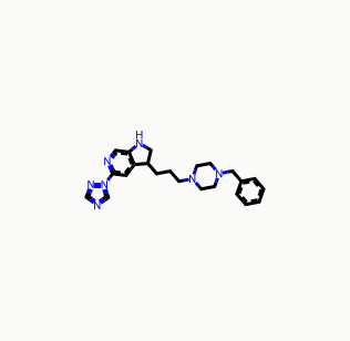 c1ccc(CN2CCN(CCCC3CNc4cnc(-n5cncn5)cc43)CC2)cc1